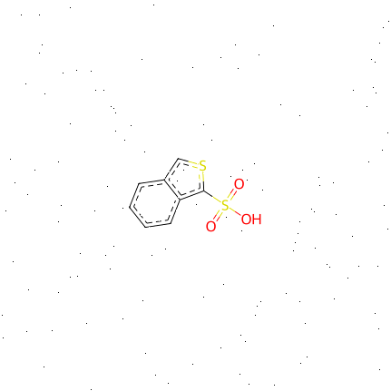 O=S(=O)(O)c1scc2ccccc12